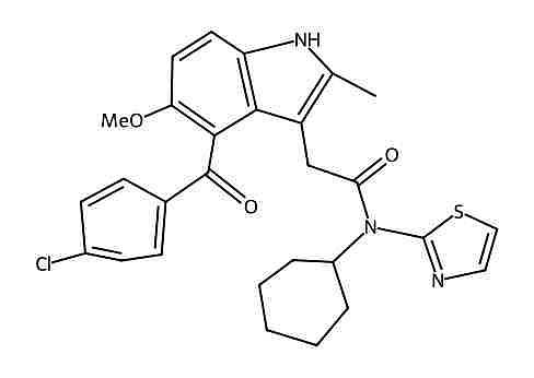 COc1ccc2[nH]c(C)c(CC(=O)N(c3nccs3)C3CCCCC3)c2c1C(=O)c1ccc(Cl)cc1